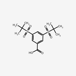 CC(C)(C)S(=O)(=O)c1cc(C(=O)O)cc(S(=O)(=O)C(C)(C)C)c1